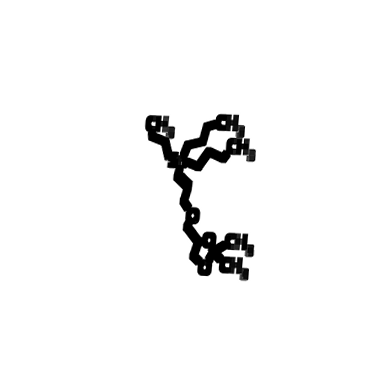 CCC[CH2][Sn](/[CH]=C/COCC1COC(C)(C)O1)([CH2]CCC)[CH2]CCC